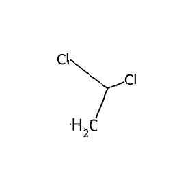 [CH2]C(Cl)Cl